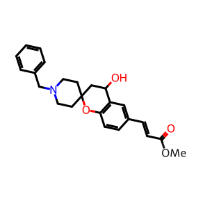 COC(=O)C=Cc1ccc2c(c1)C(O)CC1(CCN(Cc3ccccc3)CC1)O2